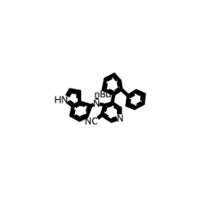 CCCCN(c1c(C#N)cncc1-c1ccccc1-c1ccccc1)c1cccc2[nH]ccc12